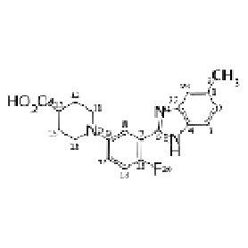 Cc1ccc2[nH]c(-c3cc(N4CCC(C(=O)O)CC4)ccc3F)nc2c1